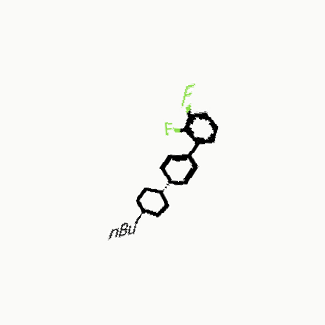 CCCC[C@H]1CC[C@H](C2C=CC(c3cccc(F)c3F)=CC2)CC1